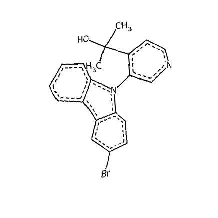 CC(C)(O)c1ccncc1-n1c2ccccc2c2cc(Br)ccc21